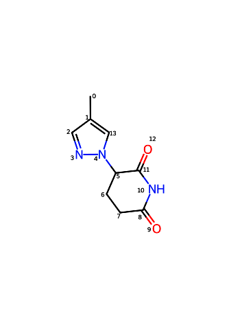 Cc1cnn(C2CCC(=O)NC2=O)c1